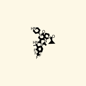 Cc1nc(N[C@H](C)c2cccc(C(F)(F)F)c2F)c2c(n1)C1(CCN(C(=O)C3CC3)C1)C(=O)N(C1CCNCC1)C2